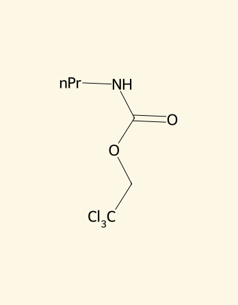 CCCNC(=O)OCC(Cl)(Cl)Cl